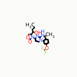 CCC[C@@H](O)[C@H]1COC(=O)N1c1ccnc(N[C@@H](C)c2ccc(OC(F)F)cc2)n1